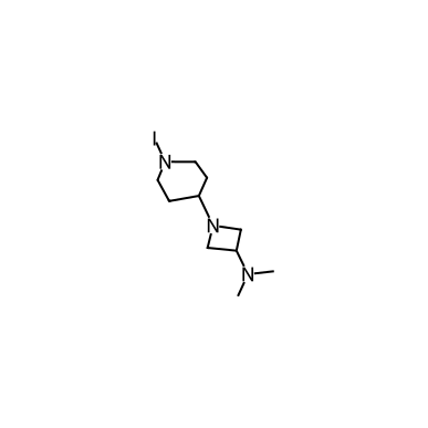 CN(C)C1CN(C2CCN(I)CC2)C1